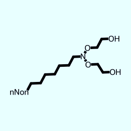 CCCCCCCCCCCCCCCCN(OCCO)OCCO